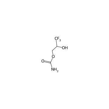 NC(=O)OCC(O)C(F)(F)F